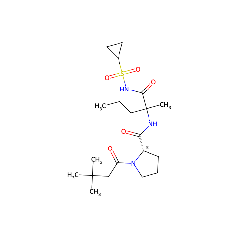 CCCC(C)(NC(=O)[C@@H]1CCCN1C(=O)CC(C)(C)C)C(=O)NS(=O)(=O)C1CC1